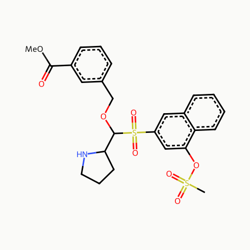 COC(=O)c1cccc(COC(C2CCCN2)S(=O)(=O)c2cc(OS(C)(=O)=O)c3ccccc3c2)c1